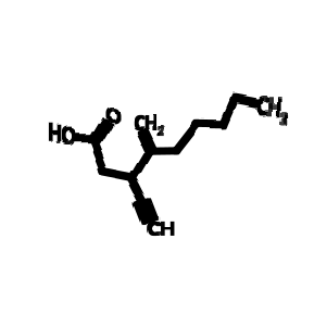 C#CC(CC(=O)O)C(=C)CCCCC